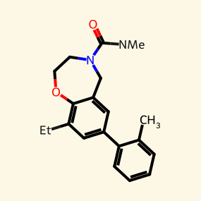 CCc1cc(-c2ccccc2C)cc2c1OCCN(C(=O)NC)C2